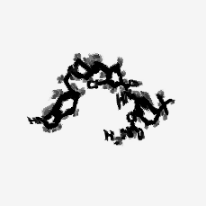 CC(C)(C)c1ccc(OC(N)=O)c(NC(=O)c2ccc(C=C3CN(Cc4ccc5cc[nH]c5c4)C3)c(Cl)c2)c1